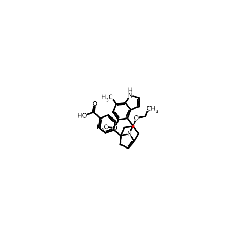 CCO[C@H]1CC2=CCC(c3ccc(C(=O)O)cc3)(C1)N2Cc1c(OC)cc(C)c2[nH]ccc12